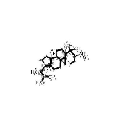 CN[C@H]1CC[C@]23C[C@]24CC[C@]2(C)[C@@H]([C@H](C)N(C)C)CC[C@@]2(C)C4CC[C@H]3C1(C)C